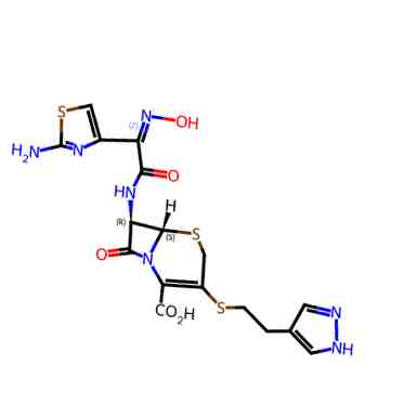 Nc1nc(/C(=N/O)C(=O)N[C@@H]2C(=O)N3C(C(=O)O)=C(SCCc4cn[nH]c4)CS[C@@H]23)cs1